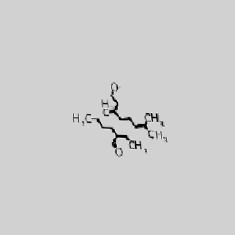 CC(C)=CCCC(C)CC[O].CCCCC(C=O)CC